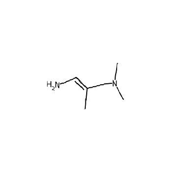 C/C(=C\N)N(C)C